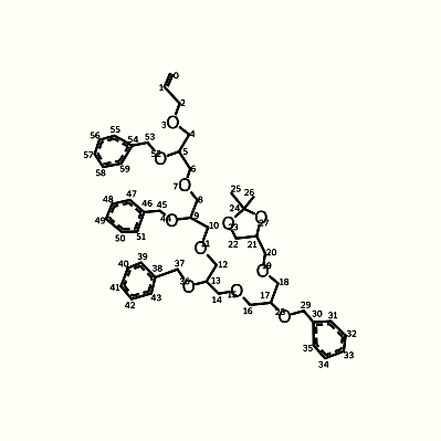 C=CCOCC(COCC(COCC(COCC(COCC1COC(C)(C)O1)OCc1ccccc1)OCc1ccccc1)OCc1ccccc1)OCc1ccccc1